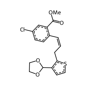 COC(=O)c1cc(Cl)ccc1/C=C\Cc1sccc1C1OCCO1